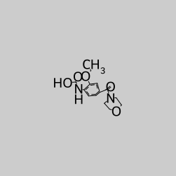 CCOc1cc(C(=O)N2CCOCC2)ccc1NC(=O)O